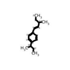 CCC(C)C=Cc1ccc(C(C)CC)cc1